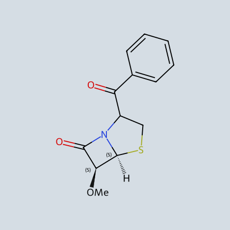 CO[C@H]1C(=O)N2C(C(=O)c3ccccc3)CS[C@@H]12